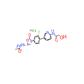 CC(=O)NC[C@H]1CN(c2ccc(-c3ccc(NC(=O)CO)nc3)c(F)c2)C(=O)O1.Cl